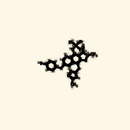 Cc1nc(Cc2c3c(c(O[Si](C(C)C)(C(C)C)C(C)C)c4ncc(Cc5ccc(F)cc5)cc24)C(=O)N(C)C3)no1